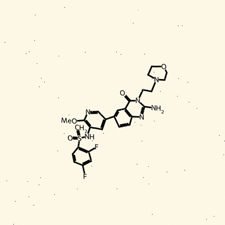 C=S(=O)(Nc1cc(-c2ccc3nc(N)n(CCN4CCOCC4)c(=O)c3c2)cnc1OC)c1ccc(F)cc1F